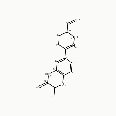 CC1Oc2ccc(C3=NNC(C=O)CC3)cc2NC1=O